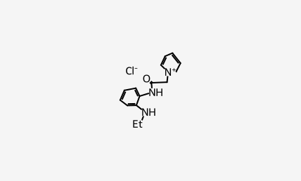 CCNc1ccccc1NC(=O)C[n+]1ccccc1.[Cl-]